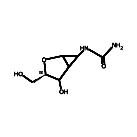 NC(=O)NC1C2O[C@@H](CO)C(O)C12